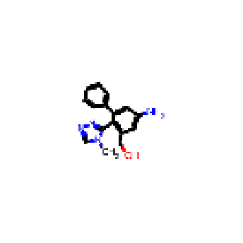 Cn1cnnc1-c1c(CO)cc(N)cc1-c1ccccc1